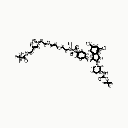 CC(C)(C)OC(=O)N[C@@H]1CCCN([C@H]2Cc3c(Cl)cc(Cl)cc3[C@@H]2Oc2ccc(S(=O)(=O)NCCOCCOCCn3cc(CNC(=O)C(F)(F)F)nn3)cc2)C1